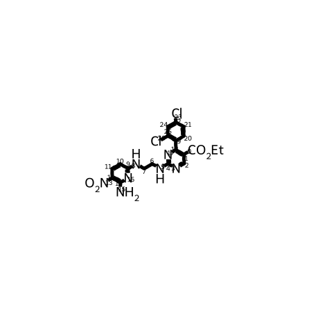 CCOC(=O)c1cnc(NCCNc2ccc([N+](=O)[O-])c(N)n2)nc1-c1ccc(Cl)cc1Cl